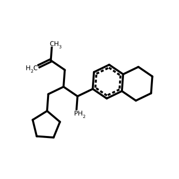 C=C(C)CC(CC1CCCC1)C(P)c1ccc2c(c1)CCCC2